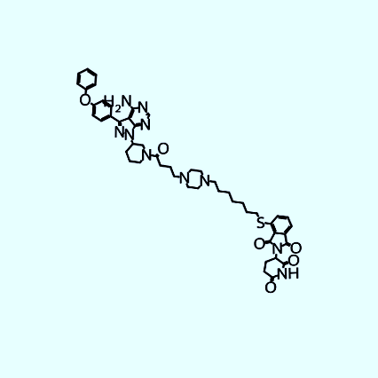 Nc1ncnc2c1c(-c1ccc(Oc3ccccc3)cc1)nn2[C@@H]1CCCN(C(=O)CCCN2CCN(CCCCCCCSc3cccc4c3C(=O)N(C3CCC(=O)NC3=O)C4=O)CC2)C1